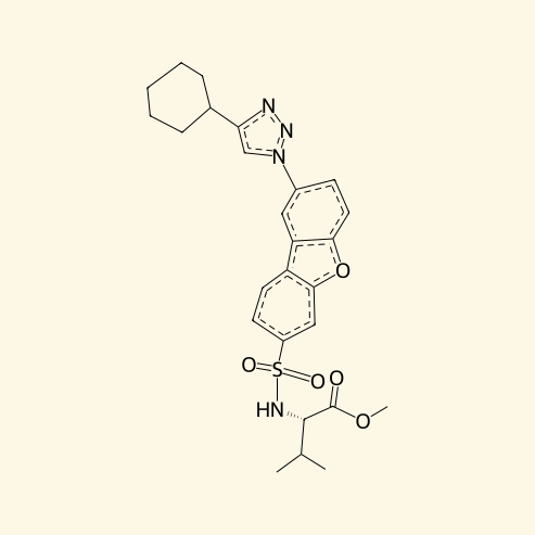 COC(=O)[C@@H](NS(=O)(=O)c1ccc2c(c1)oc1ccc(-n3cc(C4CCCCC4)nn3)cc12)C(C)C